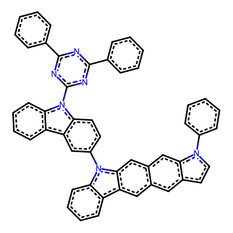 c1ccc(-c2nc(-c3ccccc3)nc(-n3c4ccccc4c4cc(-n5c6ccccc6c6cc7cc8ccn(-c9ccccc9)c8cc7cc65)ccc43)n2)cc1